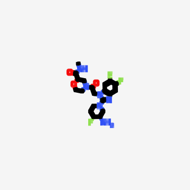 CNC(=O)C1CN(C(=O)Cn2c(N3CC[C@@H](F)[C@H](N)C3)nc3cc(F)c(F)cc32)CCO1